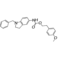 COc1ccc(CCOC(=O)Nc2ccc3c(c2)CCN3Cc2ccccc2)cc1